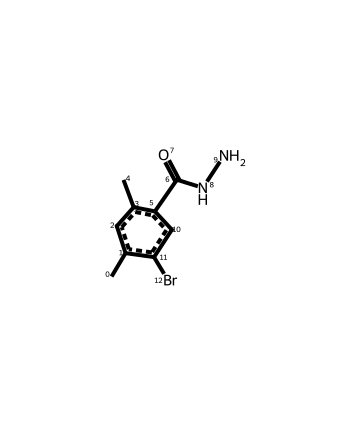 Cc1cc(C)c(C(=O)NN)cc1Br